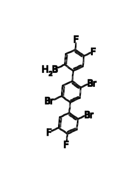 Bc1cc(F)c(F)cc1-c1cc(Br)c(-c2cc(F)c(F)cc2Br)cc1Br